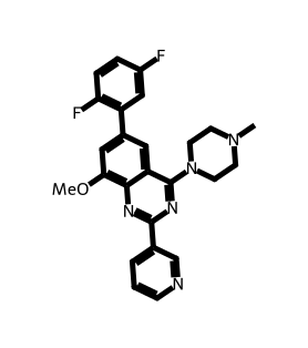 COc1cc(-c2cc(F)ccc2F)cc2c(N3CCN(C)CC3)nc(-c3cccnc3)nc12